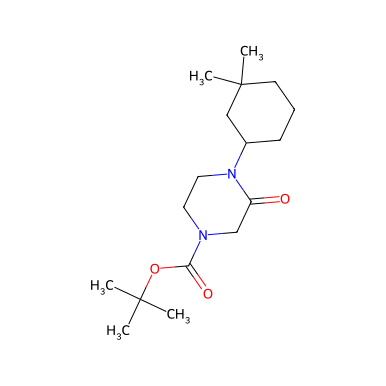 CC1(C)CCCC(N2CCN(C(=O)OC(C)(C)C)CC2=O)C1